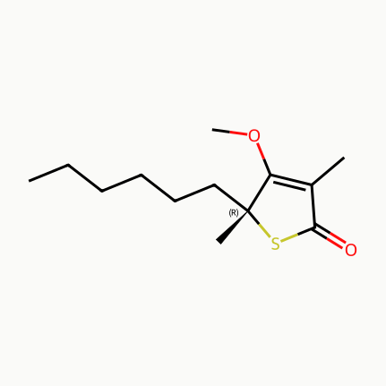 CCCCCC[C@@]1(C)SC(=O)C(C)=C1OC